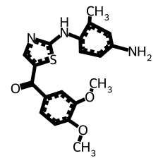 COc1ccc(C(=O)c2cnc(Nc3ccc(N)cc3C)s2)cc1OC